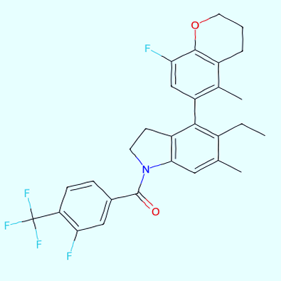 CCc1c(C)cc2c(c1-c1cc(F)c3c(c1C)CCCO3)CCN2C(=O)c1ccc(C(F)(F)F)c(F)c1